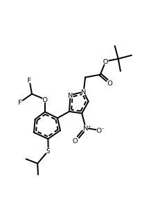 CC(C)Sc1ccc(OC(F)F)c(-c2nn(CC(=O)OC(C)(C)C)cc2[N+](=O)[O-])c1